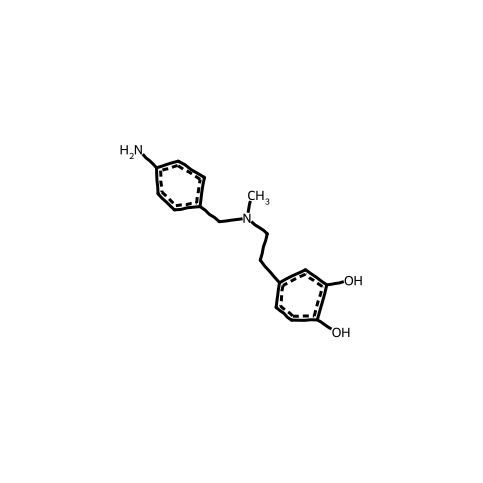 CN(CCc1ccc(O)c(O)c1)Cc1ccc(N)cc1